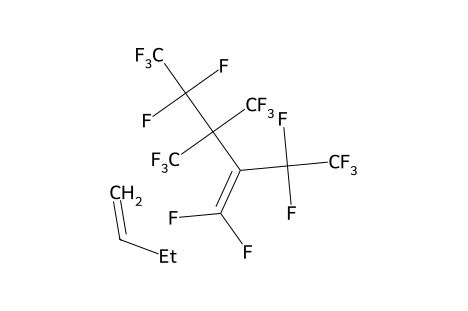 C=CCC.FC(F)=C(C(F)(F)C(F)(F)F)C(C(F)(F)F)(C(F)(F)F)C(F)(F)C(F)(F)F